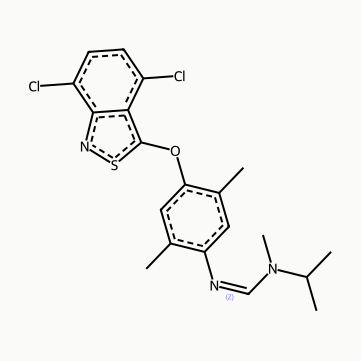 Cc1cc(Oc2snc3c(Cl)ccc(Cl)c23)c(C)cc1/N=C\N(C)C(C)C